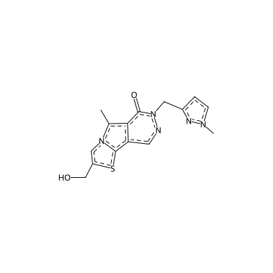 Cc1c2c(=O)n(Cc3ccn(C)n3)ncc2c2sc(CO)cn12